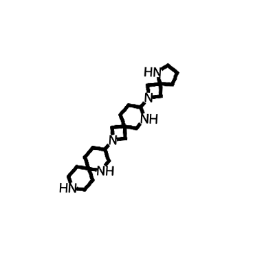 C1CNC2(C1)CN(C1CCC3(CN1)CN(C1CCC4(CCNCC4)NC1)C3)C2